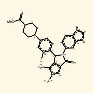 COC(=O)N1CCN(c2ccc(C3c4c(nn(C)c4C)C(=O)N3c3ccc4[nH]cnc4c3)c(F)c2)CC1